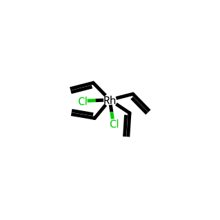 C=[CH][Rh]([Cl])([Cl])([CH]=C)([CH]=C)[CH]=C